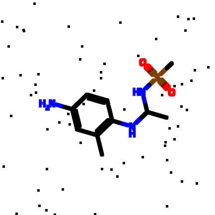 Cc1cc(N)ccc1NC(C)NS(C)(=O)=O